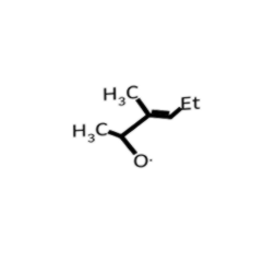 CC/C=C(\C)C(C)[O]